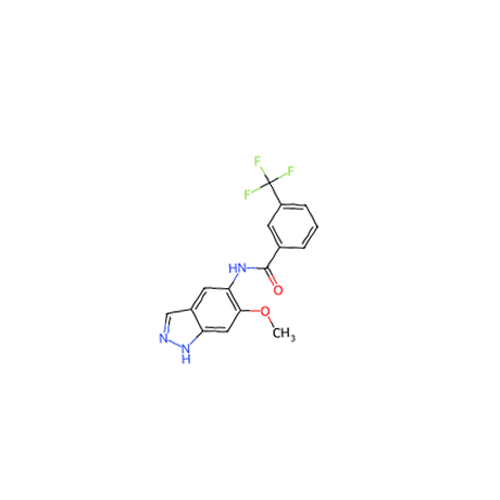 COc1cc2[nH]ncc2cc1NC(=O)c1cccc(C(F)(F)F)c1